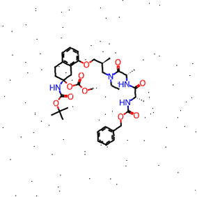 CCN(C[C@H](C)COc1cccc2c1C[C@](NC(=O)OC(C)(C)C)(OC(=O)OC)CC2)C(=O)[C@H](C)NC(=O)[C@H](C)NC(=O)OCc1ccccc1